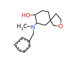 CN(Cc1ccccc1)C1CC2(CCOC2)CCC1O